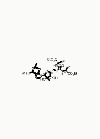 CCOC(=O)[C@@H](NP(=O)(N[C@H](C(=O)OCC)C(C)C)OC[C@H]1O[C@@H](n2cnc3c(OC)nc(C)nc32)C(C)(O)[C@H]1O)C(C)C